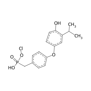 CC(C)c1cc(Oc2ccc(CP(=O)(O)OCl)cc2)ccc1O